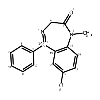 CN1C(=O)CN=[14C](c2ccccc2)c2cc(Cl)ccc21